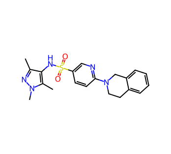 Cc1nn(C)c(C)c1NS(=O)(=O)c1ccc(N2CCc3ccccc3C2)nc1